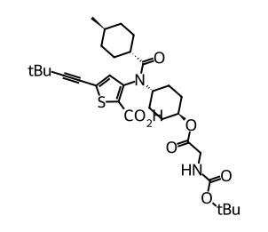 CC(C)(C)C#Cc1cc(N(C(=O)[C@H]2CC[C@H](C)CC2)[C@H]2CC[C@H](OC(=O)CNC(=O)OC(C)(C)C)CC2)c(C(=O)O)s1